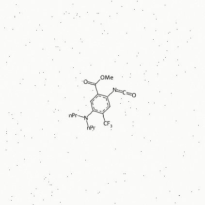 CCCN(CCC)c1cc(C(=O)OC)c(N=C=O)cc1C(F)(F)F